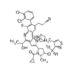 [2H]C([2H])(OC1CC(c2cc3c(C(C)O)nc4c(F)c(-c5cccc(Cl)c5Cl)c(CCC#N)cc4c3n2C2C3CNC2C3)N(C(=O)C2CC2)C1C)c1nscc1C